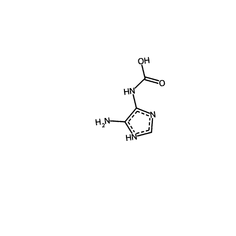 Nc1[nH]cnc1NC(=O)O